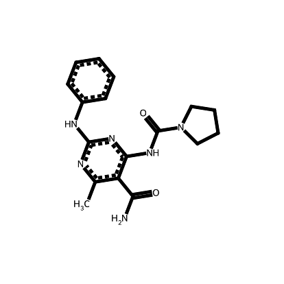 Cc1nc(Nc2ccccc2)nc(NC(=O)N2CCCC2)c1C(N)=O